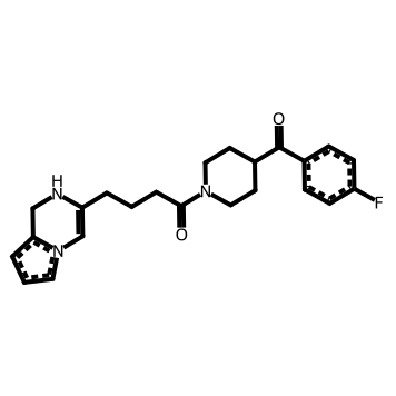 O=C(c1ccc(F)cc1)C1CCN(C(=O)CCCC2=Cn3cccc3CN2)CC1